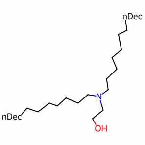 CCCCCCCCCCCCCCCCCN(CCO)CCCCCCCCCCCCCCCCC